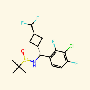 CC(C)(C)[S@@+]([O-])NC(c1ccc(F)c(Cl)c1F)[C@H]1C[C@H](C(F)F)C1